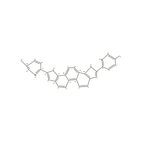 Cc1ccc(-c2cc3ccc4c5ccc6cc(-c7ccc(C)cn7)sc6c5ccc4c3s2)nc1